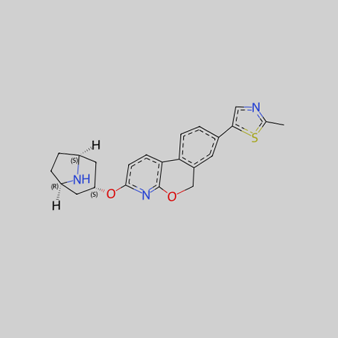 Cc1ncc(-c2ccc3c(c2)COc2nc(O[C@@H]4C[C@H]5CC[C@@H](C4)N5)ccc2-3)s1